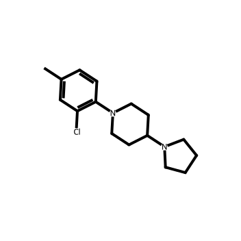 Cc1ccc(N2CCC(N3CCCC3)CC2)c(Cl)c1